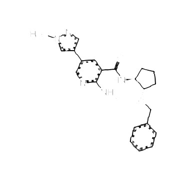 Cn1cc(-c2cnc(N)c(C(=O)N[C@H]3CCC[C@@H]3OCc3ccccc3)c2)cn1